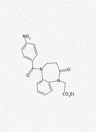 CCOC(=O)CN1C(=O)CCN(C(=O)c2ccc([N+](=O)[O-])cc2)c2ccccc21